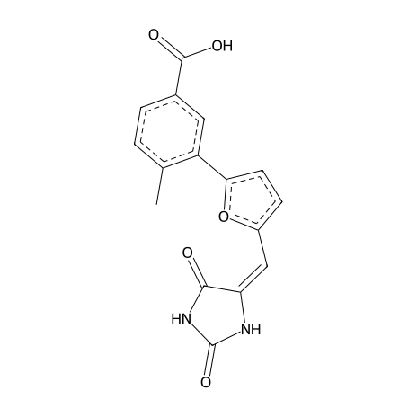 Cc1ccc(C(=O)O)cc1-c1ccc(C=C2NC(=O)NC2=O)o1